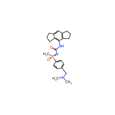 CN(C)Cc1ccc(S(C)(=O)=NC(=O)Nc2c3c(cc4c2CCC4)CCC3)cc1